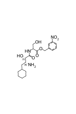 N[C@H](CC1CCCCC1)[C@H](O)C(=O)NC(CO)C(=O)OCc1cccc([N+](=O)[O-])c1